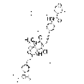 Cc1ccc(CCC(=O)Nc2c(Cl)n(CC#Cc3ccc(NC(=O)C4CCOCC4)cc3)c(=O)n(C)c2=O)cc1